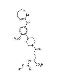 COc1ccc(NC2=NCCCCN2)cc1N1CCN(C(=O)CC[C@H](NC(=O)OC(C)C)C(=O)O)CC1